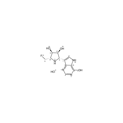 Cl.Oc1ncnc2c([C@@H]3N[C@H](CF)[C@@H](O)[C@H]3O)c[nH]c12